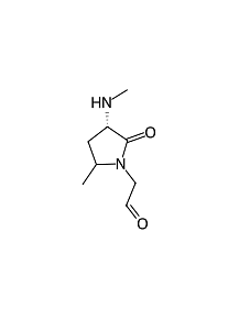 CN[C@H]1CC(C)N(CC=O)C1=O